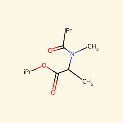 CC(C)OC(=O)C(C)N(C)C(=O)C(C)C